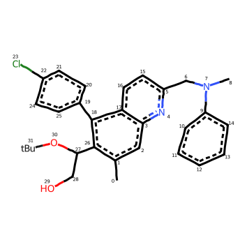 Cc1cc2nc(CN(C)c3ccccc3)ccc2c(-c2ccc(Cl)cc2)c1C(CO)OC(C)(C)C